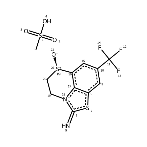 CS(=O)(=O)O.N=c1sc2cc(C(F)(F)F)cc3c2n1CC[S@@+]3[O-]